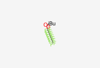 CCC(C)C(=O)OCC(F)(F)C(F)(F)C(F)(F)C(F)(F)C(F)(F)C(F)(F)C(F)(F)C(F)F